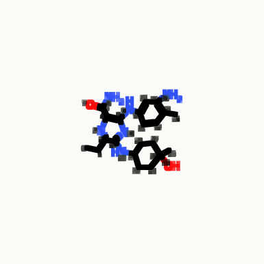 CCc1nc(C(N)=O)c(Nc2ccc(C)c(N)c2)nc1NC1CCC(C)(O)CC1